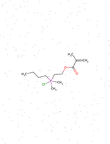 C=C(C)C(=O)OCCP(C)(C)(Cl)CCCC